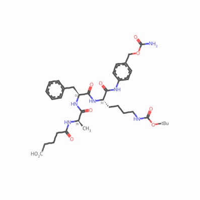 C[C@@H](NC(=O)CCCC(=O)O)C(=O)N[C@@H](Cc1ccccc1)C(=O)N[C@@H](CCCCNC(=O)OC(C)(C)C)C(=O)Nc1ccc(COC(N)=O)cc1